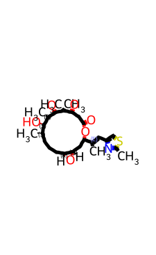 C/C(=C\c1csc(C)n1)C1C[C@@H]2O[C@@H]2CCC[C@H](C)[C@H](O)[C@@H](C)C(=O)C(C)(C)C(=O)CC(=O)O1